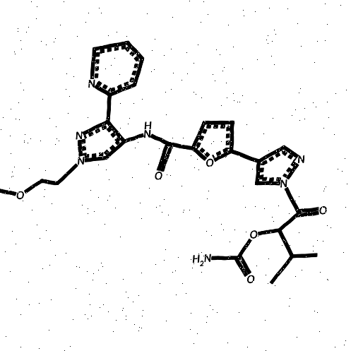 COCCn1cc(NC(=O)c2ccc(-c3cnn(C(=O)C(OC(N)=O)C(C)C)c3)o2)c(-c2ccccn2)n1